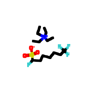 CC[N+](CC)(CC)CC.O=S(=O)([O-])C(F)CCCCCC(F)(F)F